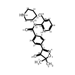 CC1(C)ON=C(c2ccc(C(=O)N(c3ncccc3Cl)[C@H]3CCCNC3)cc2)C1=O